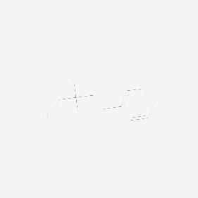 OCC(F)(F)CCc1ccccc1